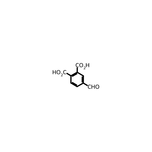 O=Cc1ccc(C(=O)O)c(C(=O)O)c1